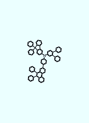 c1ccc(-c2ccc(N(c3ccc(-c4ccc5c(c4)c(-c4ccccc4)c(-c4ccccc4)c4ccccc45)cc3)c3ccc4c(c3)-c3ccccc3C4(c3ccccc3)c3ccccc3)cc2-c2ccccc2)cc1